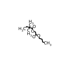 CCCCOC(=O)COC(=O)C(C)(C)CC